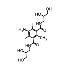 Cc1c(C(=O)NCC(O)CO)c(I)c(N)c(I)c1C(=O)NCC(O)CO